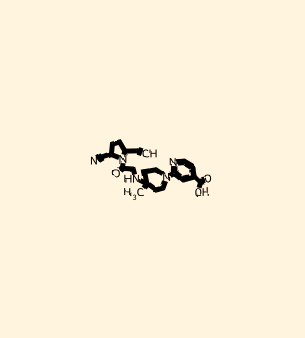 C#CC1CCC(C#N)N1C(=O)CNC1(C)CCN(c2cc(C(=O)O)ccn2)CC1